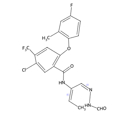 C/C=C(\C=N/NC=O)NC(=O)c1cc(Cl)c(C(F)(F)F)cc1Oc1ccc(F)cc1C